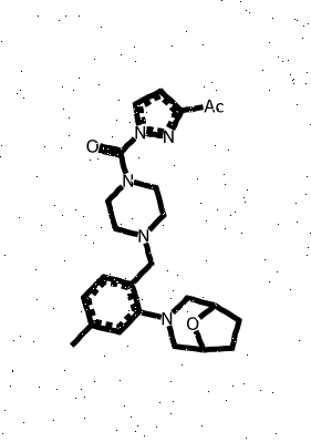 CC(=O)c1ccn(C(=O)N2CCN(Cc3ccc(C)cc3N3CC4CCC(C3)O4)CC2)n1